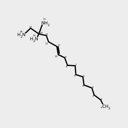 CCCCCCCCCC/C=C/CCC(N)(N)CN